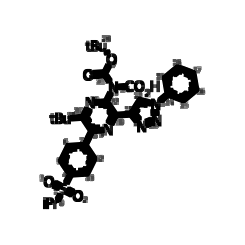 CC(C)S(=O)(=O)c1ccc(-c2nc(-c3cn(-c4ccccc4)nn3)c(N(C(=O)O)C(=O)OC(C)(C)C)nc2C(C)(C)C)cc1